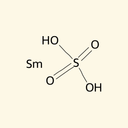 O=S(=O)(O)O.[Sm]